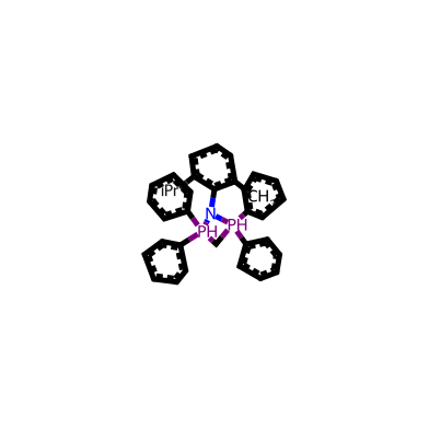 Cc1cccc(C(C)C)c1N1[PH](c2ccccc2)(c2ccccc2)C[PH]1(c1ccccc1)c1ccccc1